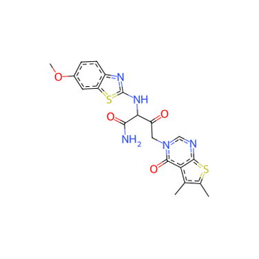 COc1ccc2nc(NC(C(N)=O)C(=O)Cn3cnc4sc(C)c(C)c4c3=O)sc2c1